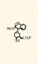 COC(=O)C(c1ccccc1Cl)N1CCC(S)C(=CC(=O)O)C1